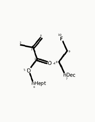 C=C(C)C(=O)OCCCCCCC.CCCCCCCCCCCCF